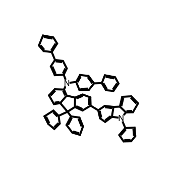 c1ccc(-c2ccc(N(c3ccc(-c4ccccc4)cc3)c3cccc4c3-c3ccc(-c5ccc6c(c5)c5ccccc5n6-c5ccccc5)cc3C4(c3ccccc3)c3ccccc3)cc2)cc1